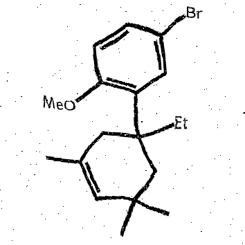 CCC1(c2cc(Br)ccc2OC)CC(C)=CC(C)(C)C1